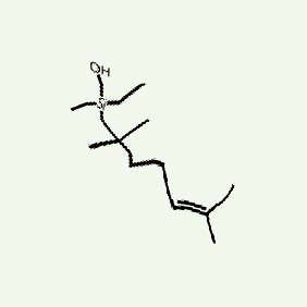 CC(C)=CCCC(C)(C)[Si](C)(C)O